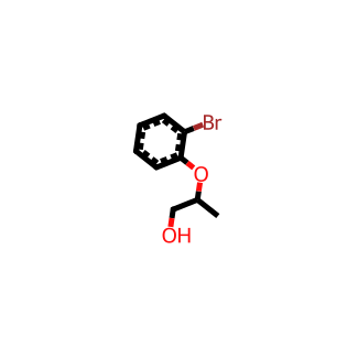 CC(CO)Oc1ccccc1Br